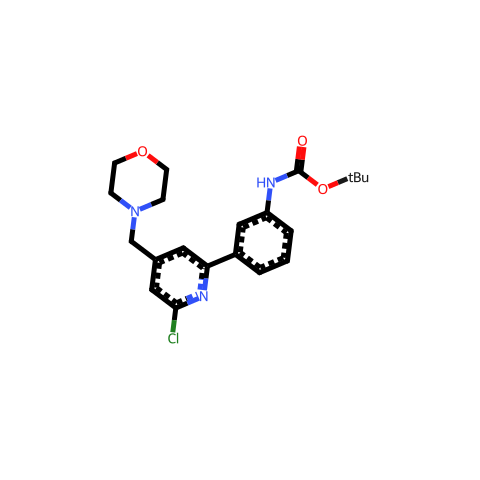 CC(C)(C)OC(=O)Nc1cccc(-c2cc(CN3CCOCC3)cc(Cl)n2)c1